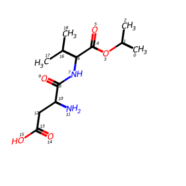 CC(C)OC(=O)C(NC(=O)C(N)CC(=O)O)C(C)C